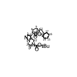 C[C@H]1Cn2ncc(N3CCN(Cc4ccccc4)S3(=O)=O)c2CN1C(=O)OC(C)(C)C